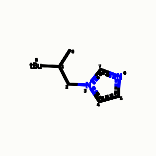 CC(Cn1ccnc1)C(C)(C)C